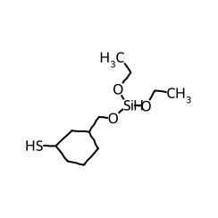 CCO[SiH](OCC)OCC1CCCC(S)C1